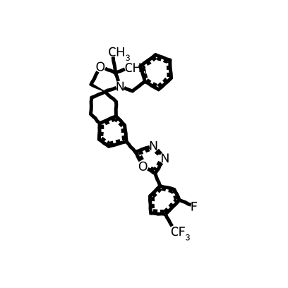 CC1(C)OC[C@@]2(CCc3ccc(-c4nnc(-c5ccc(C(F)(F)F)c(F)c5)o4)cc3C2)N1Cc1ccccc1